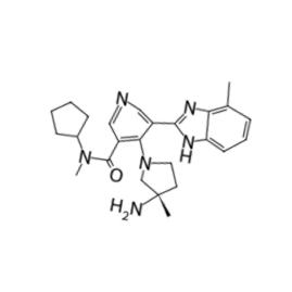 Cc1cccc2[nH]c(-c3cncc(C(=O)N(C)C4CCCC4)c3N3CC[C@](C)(N)C3)nc12